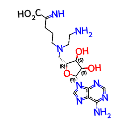 N=C(CCCN(CCN)C[C@H]1O[C@@H](n2cnc3c(N)ncnc32)[C@H](O)[C@@H]1O)C(=O)O